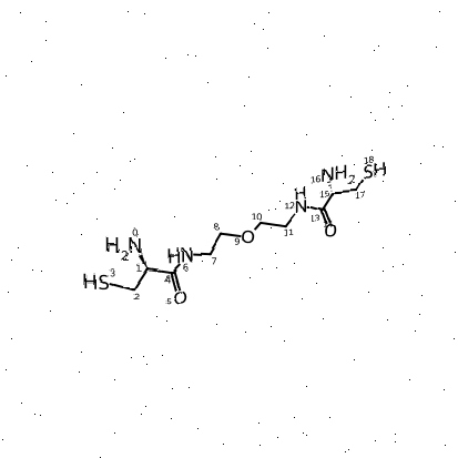 N[C@H](CS)C(=O)NCCOCCNC(=O)[C@H](N)CS